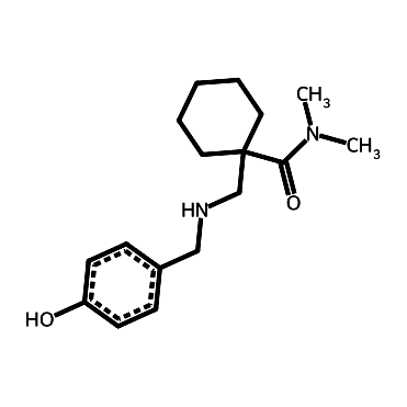 CN(C)C(=O)C1(CNCc2ccc(O)cc2)CCCCC1